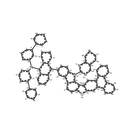 c1ccc(-c2cccc(N(c3cccc(-c4ccccc4)c3)c3c4ccccc4c(-c4ccc5c(c4)c4ccc6oc7cc8c9ccccc9c9ccccc9c8cc7c6c4n5-c4ncc5ccccc5n4)c4ccccc34)c2)cc1